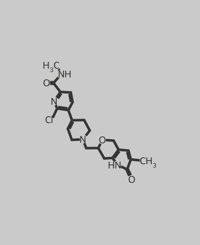 CNC(=O)c1ccc(C2=CCN(CC3Cc4[nH]c(=O)c(C)cc4CO3)CC2)c(Cl)n1